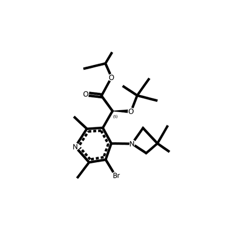 Cc1nc(C)c([C@H](OC(C)(C)C)C(=O)OC(C)C)c(N2CC(C)(C)C2)c1Br